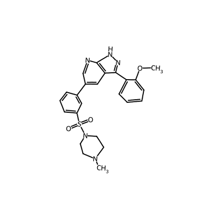 COc1ccccc1-c1n[nH]c2ncc(-c3cccc(S(=O)(=O)N4CCN(C)CC4)c3)cc12